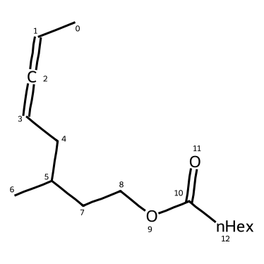 CC=C=CCC(C)CCOC(=O)CCCCCC